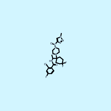 CC(NC(=O)c1ccc(F)cc1Cl)C1(N2CCN([S+]([O-])c3cn(C)nn3)CC2)CCC(F)(F)CC1